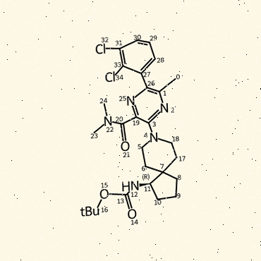 Cc1nc(N2CCC3(CCC[C@H]3NC(=O)OC(C)(C)C)CC2)c(C(=O)N(C)C)nc1-c1cccc(Cl)c1Cl